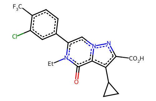 CCn1c(-c2ccc(C(F)(F)F)c(Cl)c2)cn2nc(C(=O)O)c(C3CC3)c2c1=O